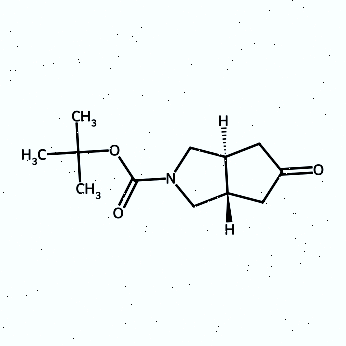 CC(C)(C)OC(=O)N1C[C@H]2CC(=O)C[C@@H]2C1